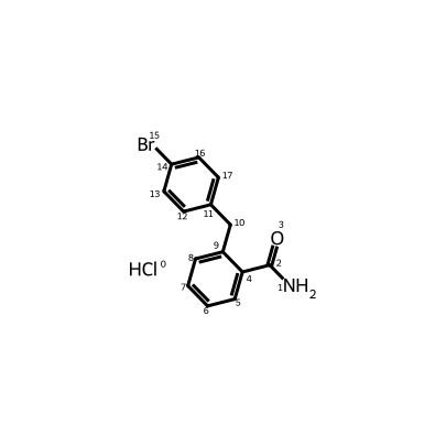 Cl.NC(=O)c1ccccc1Cc1ccc(Br)cc1